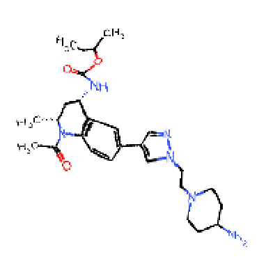 CC(=O)N1c2ccc(-c3cnn(CCN4CCC(N)CC4)c3)cc2[C@@H](NC(=O)OC(C)C)C[C@H]1C